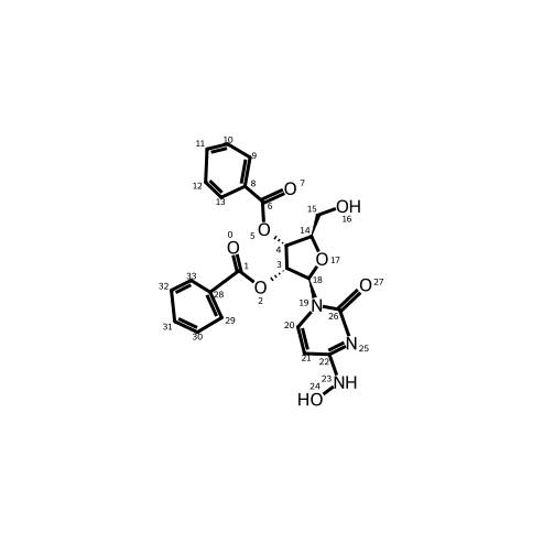 O=C(O[C@@H]1[C@H](OC(=O)c2ccccc2)[C@@H](CO)O[C@H]1n1ccc(NO)nc1=O)c1ccccc1